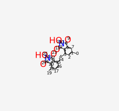 Cc1cc(C)c2c(c1)C(=O)N(O)C2=O.Cc1ccc(C)c2c1C(=O)N(O)C2=O